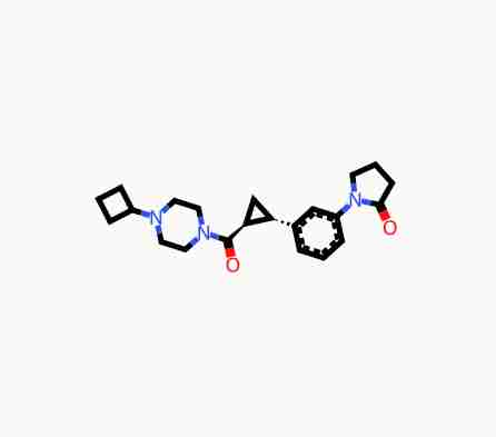 O=C([C@H]1C[C@@H]1c1cccc(N2CCCC2=O)c1)N1CCN(C2CCC2)CC1